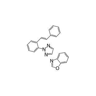 C(=Cc1ccccc1-n1nccn1)c1ccccc1.c1ccc2ocnc2c1